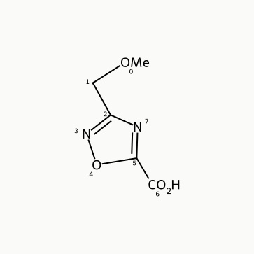 COCc1noc(C(=O)O)n1